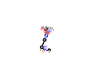 CC(C)C(NS(=O)(=O)N1CCN(c2ccc(C#Cc3ccc(F)c(C(=O)NCc4cccs4)c3)cc2)CC1)C(=O)O